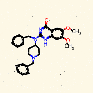 COc1cc2[nH]c(N(Cc3ccccc3)C3CCN(Cc4ccccc4)CC3)nc(=O)c2cc1OC